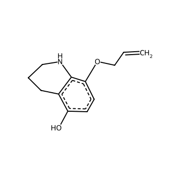 C=CCOc1ccc(O)c2c1NCCC2